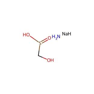 N.O=S(O)CO.[NaH]